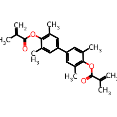 C=C(C)C(=O)Oc1c(C)cc(-c2cc(C)c(OC(=O)C(=C)C)c(C)c2)cc1C